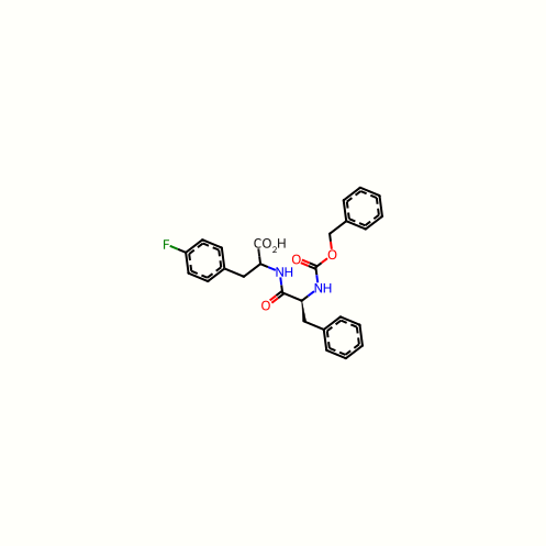 O=C(N[C@@H](Cc1ccccc1)C(=O)NC(Cc1ccc(F)cc1)C(=O)O)OCc1ccccc1